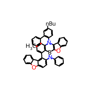 CCCCc1ccc(N2c3cc(C)cc4c3B(c3oc5ccccc5c32)N(c2ccccc2)c2ccc3oc5ccccc5c3c2-4)c(-c2ccccc2)c1